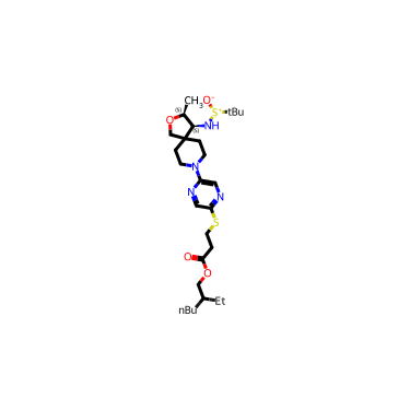 CCCCC(CC)COC(=O)CCSc1cnc(N2CCC3(CC2)CO[C@@H](C)[C@H]3N[S+]([O-])C(C)(C)C)cn1